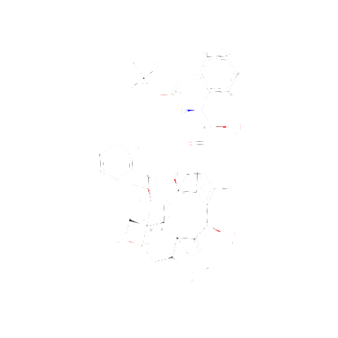 CC(=O)B1[C@@]23CO[C@@H]2CC(O)C2(C)C(=O)[C@H](O)C4=C(C)[C@@H](OC(=O)[C@H](O)[C@@H](NC(=O)OC(C)(C)C)c5ccccc5)C[C@@](O)([C@@H](OC(=O)c5ccccc5)[C@@]123)C4(C)C